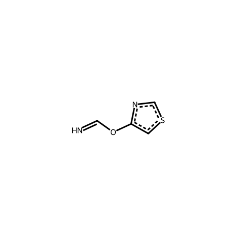 N=COc1cscn1